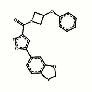 O=C(c1cc(-c2ccc3c(c2)OCO3)on1)N1CC(Oc2ccccc2)C1